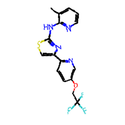 Cc1cccnc1Nc1nc(-c2ccc(OCC(F)(F)F)cn2)cs1